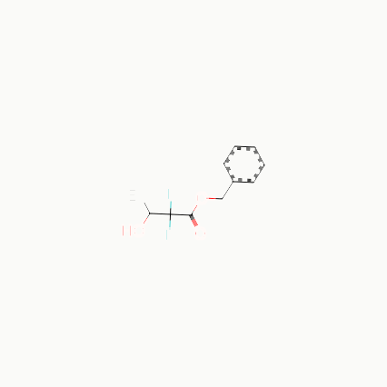 CCC(O)C(F)(F)C(=O)OCc1ccccc1